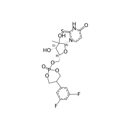 CC1(O)[C@@H](O)[C@@H](COP2(=O)OCC(c3cc(F)cc(F)c3)CO2)O[C@H]1n1ccc(=O)[nH]c1=S